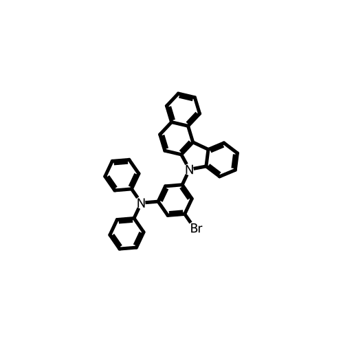 Brc1cc(N(c2ccccc2)c2ccccc2)cc(-n2c3ccccc3c3c4ccccc4ccc32)c1